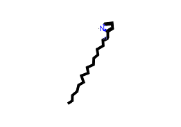 CCCCCCCCCCCCCC/C=C/C1=CC=C[N]1